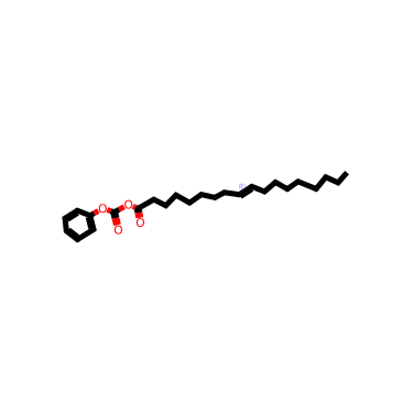 CCCCCCCC/C=C/CCCCCCCC(=O)OC(=O)Oc1ccccc1